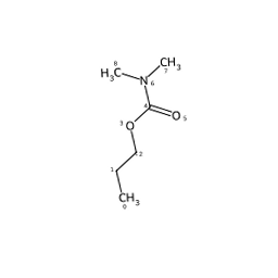 CC[CH]OC(=O)N(C)C